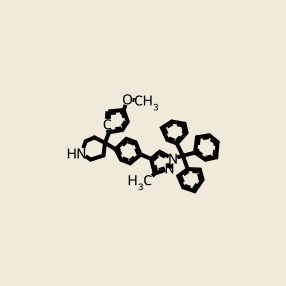 COc1ccc(C2(c3ccc(-c4cn(C(c5ccccc5)(c5ccccc5)c5ccccc5)nc4C)cc3)CCNCC2)cc1